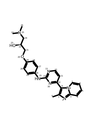 Cc1nc2ccccn2c1-c1ccnc(Nc2ccc(OC[C@@H](O)CN(C)C)cc2)n1